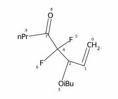 C=CC(OCC(C)C)C(F)(F)C(=O)CCC